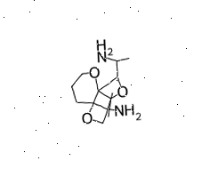 CC(N)C1OC(C)C12OCCCC21OCC1(C)N